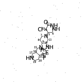 O=C1NNCC(N2CCC3C(C2)NCN3CC2CNCCC2C(F)(F)F)C1Cl